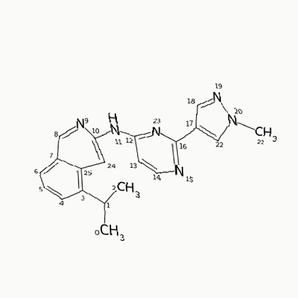 CC(C)c1cccc2cnc(Nc3ccnc(-c4cnn(C)c4)n3)cc12